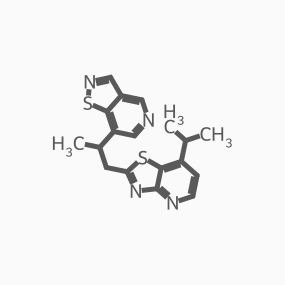 CC(C)c1ccnc2nc(CC(C)c3cncc4cnsc34)sc12